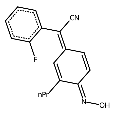 CCCC1=CC(=C(C#N)c2ccccc2F)C=CC1=NO